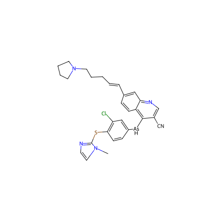 Cn1ccnc1Sc1ccc([AsH]c2c(C#N)cnc3cc(/C=C/CCCN4CCCC4)ccc23)cc1Cl